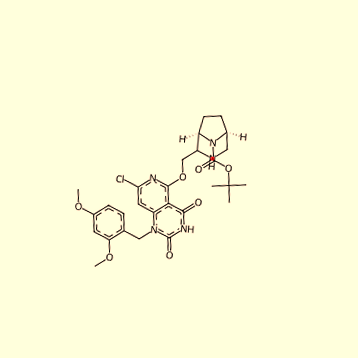 COc1ccc(Cn2c(=O)[nH]c(=O)c3c(OCC4NC[C@@H]5CC[C@H]4N5C(=O)OC(C)(C)C)nc(Cl)cc32)c(OC)c1